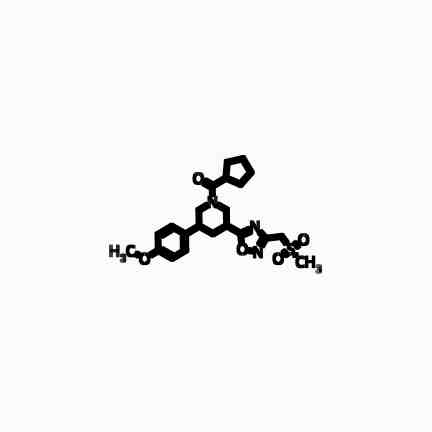 COc1ccc(C2CC(c3nc(CS(C)(=O)=O)no3)CN(C(=O)C3CCCC3)C2)cc1